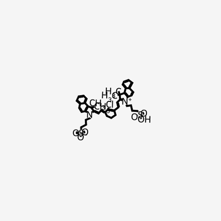 CC1(C)C(/C=C/C2=C(Cl)C(=C/C=C3/N(CCCCS(=O)(=O)[O-])c4ccc5ccccc5c4C3(C)C)/CCC2)=[N+](CCCCS(=O)(=O)O)c2ccc3ccccc3c21